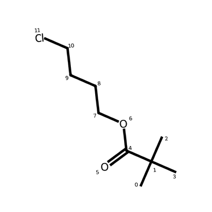 CC(C)(C)C(=O)OCCCCCl